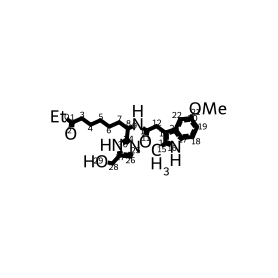 CCC(=O)CCCCCC(NC(=O)Cc1c(C)[nH]c2ccc(OC)cc12)c1ncc(CO)[nH]1